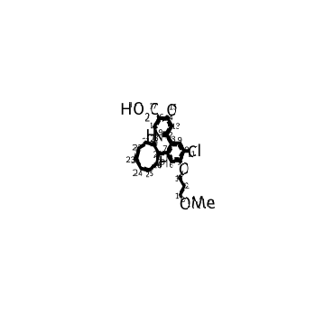 COCCCOc1cc2c(cc1Cl)-c1cc(=O)c(C(=O)O)cn1[C@H]1CCCCCC[C@@H]21